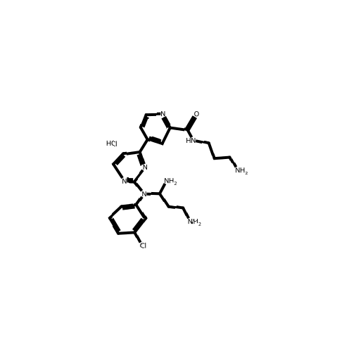 Cl.NCCCNC(=O)c1cc(-c2ccnc(N(c3cccc(Cl)c3)C(N)CCN)n2)ccn1